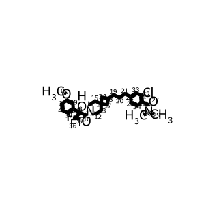 COc1cccc(C(O)(C(=O)N2CCC3(CC2)CC(CCCc2ccc(C(=O)N(C)C)c(Cl)c2)C3)C(F)(F)F)c1